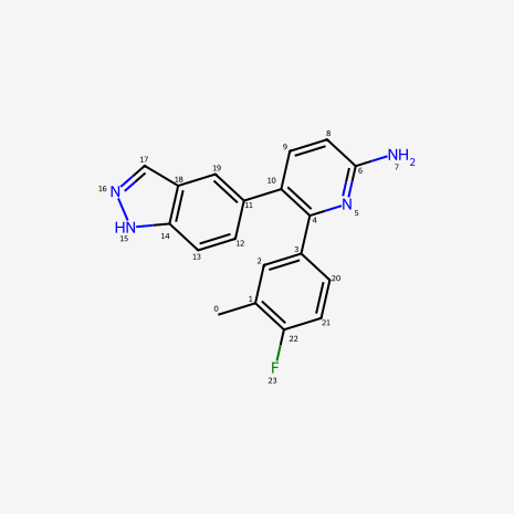 Cc1cc(-c2nc(N)ccc2-c2ccc3[nH]ncc3c2)ccc1F